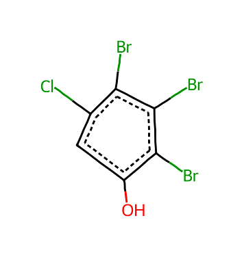 Oc1cc(Cl)c(Br)c(Br)c1Br